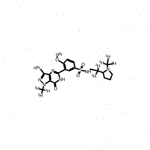 [2H]C([2H])(CNS(=O)(=O)c1ccc(OCCC)c(-c2nc3c(CCC)nn(C([2H])([2H])[2H])c3c(=O)[nH]2)c1)C1CCCN1C([2H])([2H])[2H]